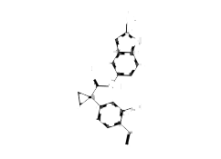 C=Cc1ccc(C2(C(=O)Nc3ccc4[nH]c(C(C)(C)C)cc4c3)CC2)cc1O